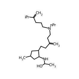 C=C(CCC1CC(C)CC1NC(C)O)CCN(CCC)CCCC(=C)C(C)C